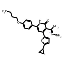 N/N=C(\N)c1c(-c2ccc(C3CC3)s2)cc(-c2ccc(OCCCC(F)(F)F)cc2)[nH]c1=O